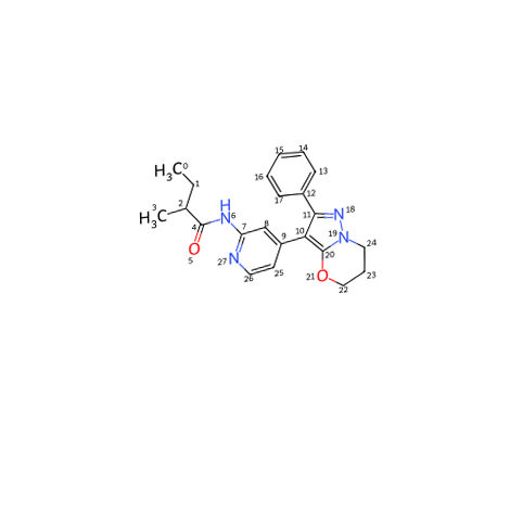 CCC(C)C(=O)Nc1cc(-c2c(-c3ccccc3)nn3c2OCCC3)ccn1